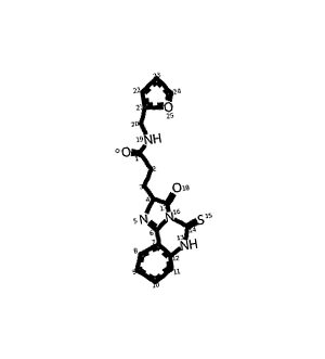 O=C(CCC1N=C2c3ccccc3NC(=S)N2C1=O)NCc1ccco1